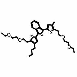 CCCCc1cc(-c2sc(-c3cc(C)c(CCOCCOCC)s3)c3ccccc23)sc1CCOCCOCC